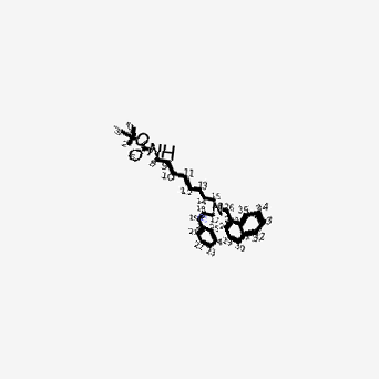 CC(C)(C)OC(=O)NCCCCCCCCN(C/C=C\c1ccccc1)Cc1cccc2ccccc12